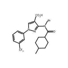 CC1CCC(C(=O)N(c2nn(-c3cccc(C(F)(F)F)c3)cc2C(=O)O)C(C)C)CC1